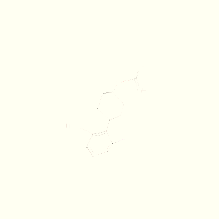 C=C(OC1CCC(c2c(C)cccc2I)CC1)C(F)(F)F